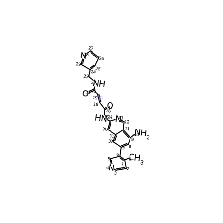 Cc1ccncc1-c1cc(N)c2cnc(NC(=O)/C=C/C(=O)NCc3cccnc3)cc2c1